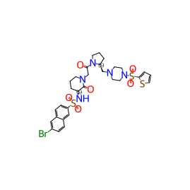 O=C1[C@@H](NS(=O)(=O)c2ccc3cc(Br)ccc3c2)CCCN1CC(=O)N1CCC[C@H]1CN1CCN(S(=O)(=O)c2cccs2)CC1